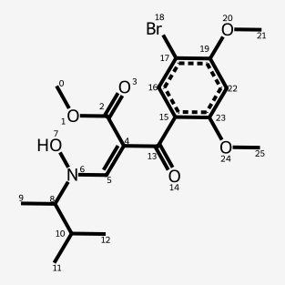 COC(=O)C(=CN(O)C(C)C(C)C)C(=O)c1cc(Br)c(OC)cc1OC